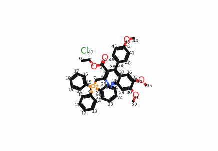 CCOC(=O)c1c(C[P+](c2ccccc2)(c2ccccc2)c2ccccc2)nc2cc(OC)c(OC)cc2c1-c1ccc(OC)cc1.[Cl-]